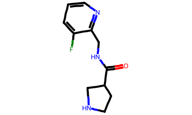 O=C(NCc1ncccc1F)C1CCNC1